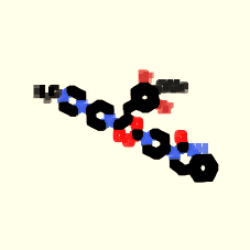 COc1c(Br)cc(C[C@@H](OC(=O)N2CCC(N3CCc4ccccc4NC3=O)CC2)C(=O)N2CCC(N3CCN(C)CC3)CC2)cc1Br